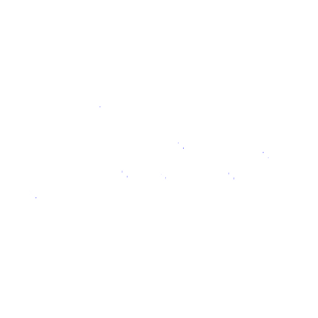 CN1CCN(Cc2cnc(-c3oc4cnccc4c3Nc3ccc4c(c3)CC/C4=N\O)nc2)CC1